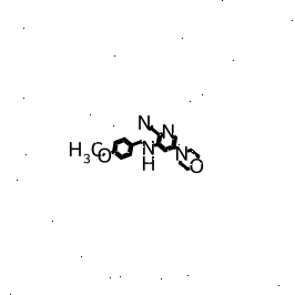 COc1ccc(CNc2cc(N3CCOCC3)cnc2C#N)cc1